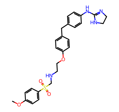 COc1ccc(S(=O)(=O)CNCCOc2ccc(Cc3ccc(NC4=NCCN4)cc3)cc2)cc1